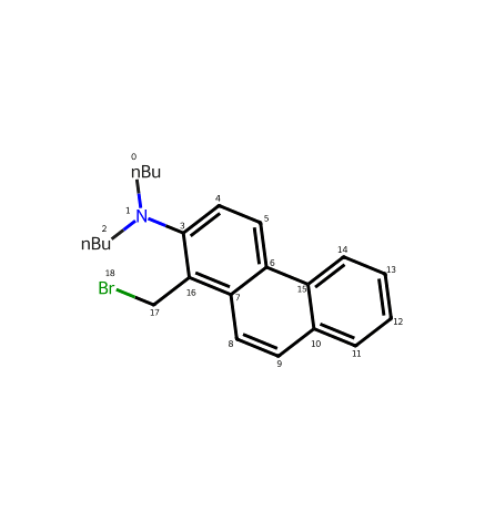 CCCCN(CCCC)c1ccc2c(ccc3ccccc32)c1CBr